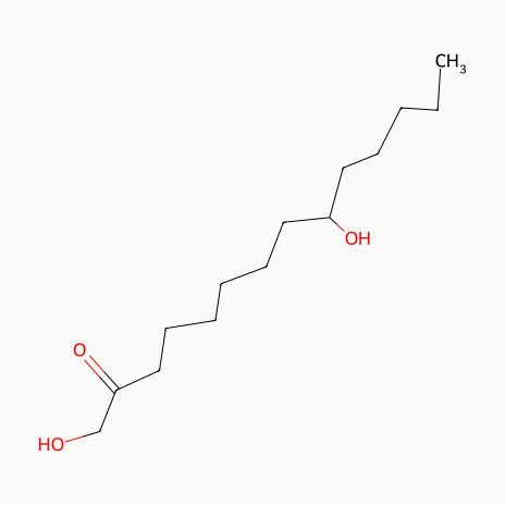 CCCCCC(O)CCCCCCC(=O)CO